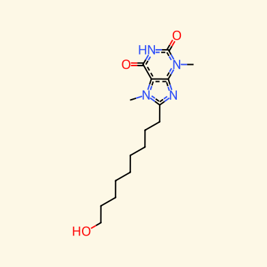 Cn1c(CCCCCCCCCO)nc2c1c(=O)[nH]c(=O)n2C